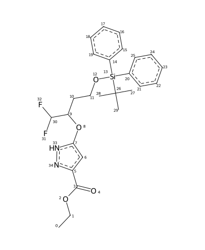 CCOC(=O)c1cc(OC(CCO[Si](c2ccccc2)(c2ccccc2)C(C)(C)C)C(F)F)[nH]n1